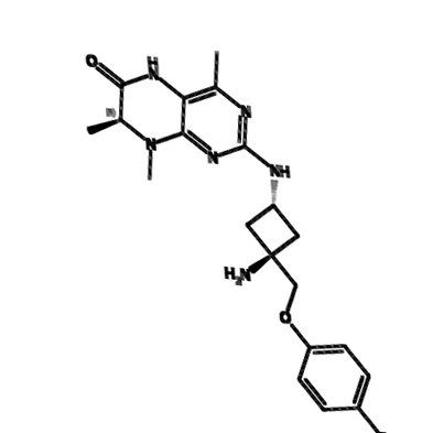 Cc1nc(N[C@H]2C[C@@](N)(COc3ccc(F)cc3)C2)nc2c1NC(=O)[C@H](C)N2C